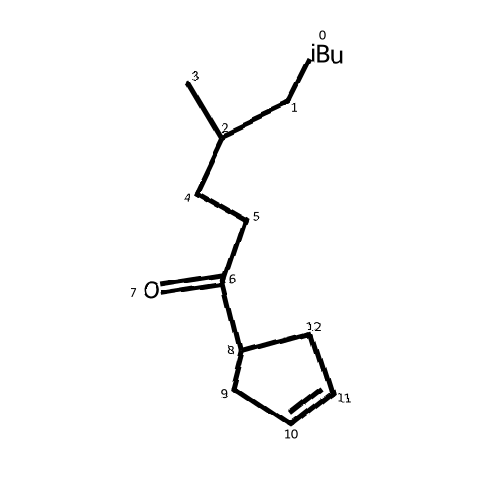 CCC(C)CC(C)CCC(=O)C1CC=CC1